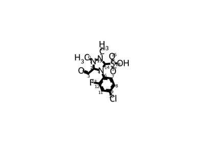 CN1C(C=O)N(c2ccc(Cl)cc2F)C(S(=O)(=O)O)N1C